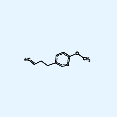 [CH]=CCCc1ccc(OC)cc1